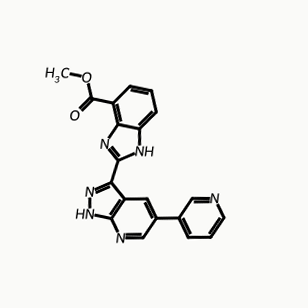 COC(=O)c1cccc2[nH]c(-c3n[nH]c4ncc(-c5cccnc5)cc34)nc12